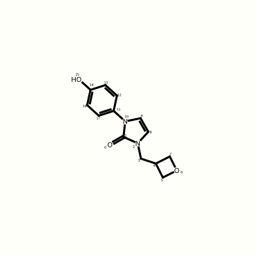 O=c1n(CC2COC2)ccn1-c1ccc(O)cc1